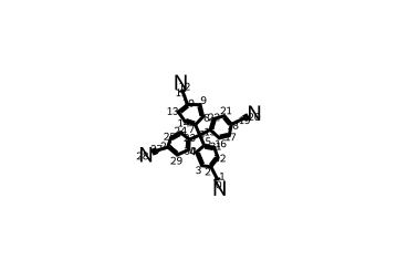 N#Cc1ccc(C(c2ccc(C#N)cc2)(c2ccc(C#N)cc2)c2ccc(C#N)cc2)cc1